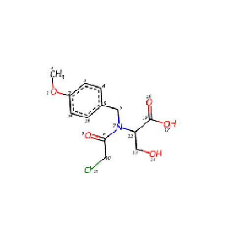 COc1ccc(CN(C(=O)CCl)C(CO)C(=O)O)cc1